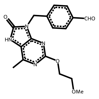 COCCOc1nc(C)c2[nH]c(=O)n(Cc3ccc(C=O)cc3)c2n1